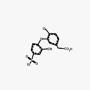 CCS(=O)(=O)c1ccc(Oc2cc(CC(=O)O)ccc2Cl)c(C#N)c1